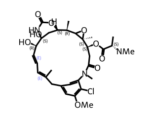 CN[C@@H](C)C(=O)O[C@H]1CC(=O)N(C)c2cc(cc(OC)c2Cl)C/C(C)=C/C=C/[C@@H](O)[C@@]2(O)C[C@H](OC(=O)N2)[C@@H](C)C2O[C@]21C